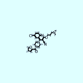 CN(C)CCCOc1nc2ccc(Cl)cc2c(N2CCN(C(=O)C3=CCCO3)CC2)c1C#N